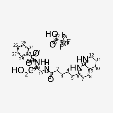 O=C(CCCCC1=CC=C2CCCNC2N1)NC[C@H](NS(=O)(=O)c1ccccc1)C(=O)O.O=C(O)C(F)(F)F